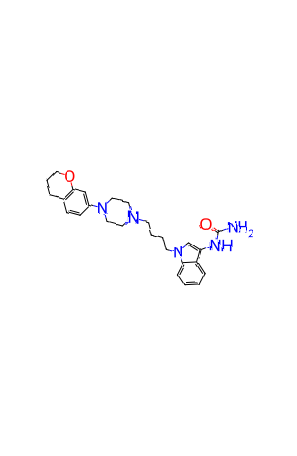 NC(=O)Nc1cn(CCCCN2CCN(c3ccc4c(c3)OCCC4)CC2)c2ccccc12